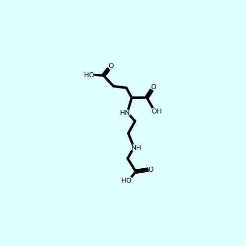 O=C(O)CCC(NCCNCC(=O)O)C(=O)O